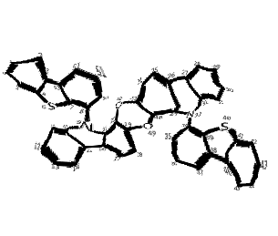 c1ccc2c(c1)sc1c(-n3c4ccccc4c4ccc5c(c43)Oc3ccc4c6ccccc6n(-c6cccc7c6sc6ccccc67)c4c3O5)cccc12